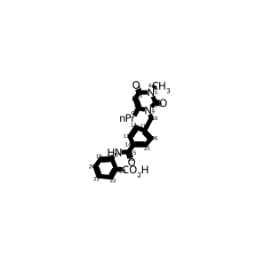 CCCc1cc(=O)n(C)c(=O)n1Cc1ccc(C(=O)Nc2ccccc2C(=O)O)cc1